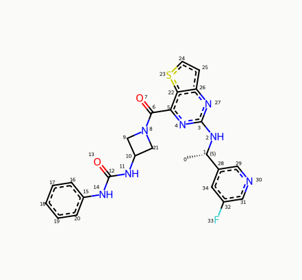 C[C@H](Nc1nc(C(=O)N2CC(NC(=O)Nc3ccccc3)C2)c2sccc2n1)c1cncc(F)c1